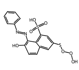 O=S(=O)(O)c1cc(SOOO)cc2ccc(O)c(N=Nc3ccccc3)c12